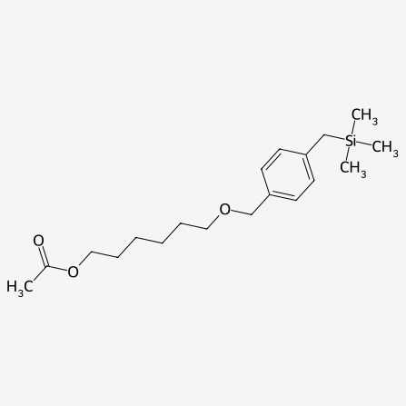 CC(=O)OCCCCCCOCc1ccc(C[Si](C)(C)C)cc1